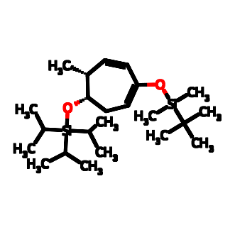 CC(C)[Si](O[C@H]1CC=C(O[Si](C)(C)C(C)(C)C)C=C[C@H]1C)(C(C)C)C(C)C